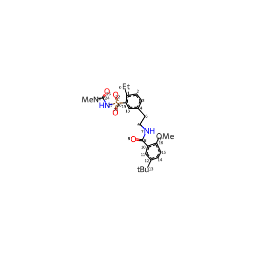 CCc1ccc(CCNC(=O)c2cc(C(C)(C)C)ccc2OC)cc1S(=O)(=O)NC(=O)NC